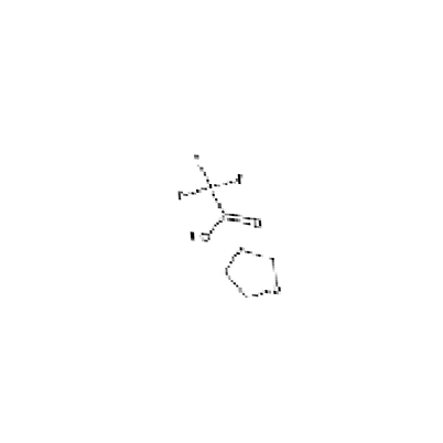 C1CCOC1.O=C(O)C(F)(F)F